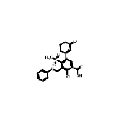 CS(=O)(=O)c1c(C2=CC(=O)CCC2)cc(C(=O)O)c(Cl)c1COc1ccccc1